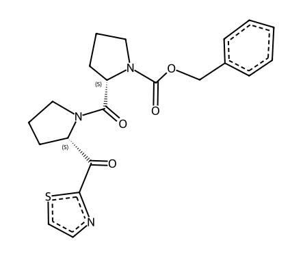 O=C(c1nccs1)[C@@H]1CCCN1C(=O)[C@@H]1CCCN1C(=O)OCc1ccccc1